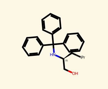 CC(C)C[C@@H](CO)NC(c1ccccc1)(c1ccccc1)c1ccccc1